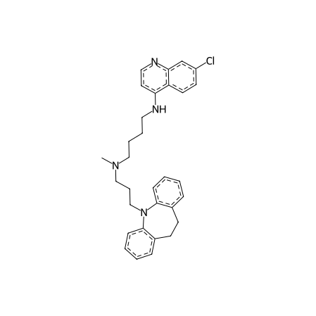 CN(CCCCNc1ccnc2cc(Cl)ccc12)CCCN1c2ccccc2CCc2ccccc21